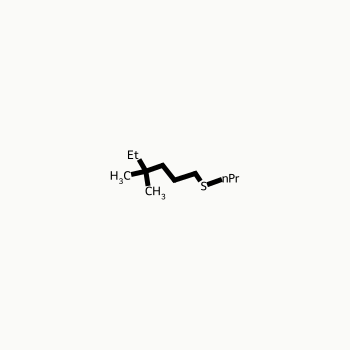 CCCSCCCC(C)(C)CC